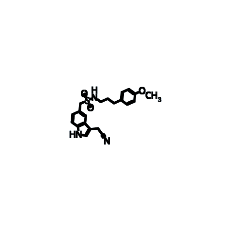 COc1ccc(CCCNS(=O)(=O)Cc2ccc3[nH]cc(CC#N)c3c2)cc1